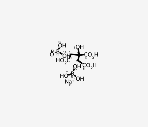 O=C(O)CC(O)(CC(=O)O)C(=O)O.OB(O)O.[Na+].[O-]B(O)O